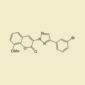 COc1cccc2cc(-n3ncc(-c4cccc(Br)c4)n3)c(=O)oc12